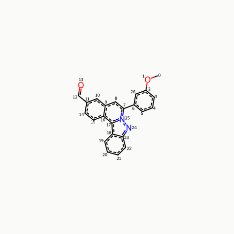 COc1cccc(-c2cc3cc(C=O)ccc3c3c4ccccc4nn23)c1